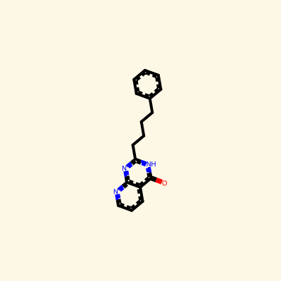 O=c1[nH]c(CCCCc2ccccc2)nc2ncccc12